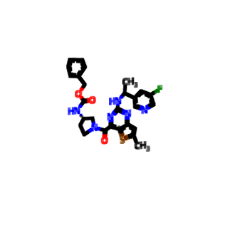 Cc1cc2nc(NC(C)c3cncc(F)c3)nc(C(=O)N3CC[C@H](NC(=O)OCc4ccccc4)C3)c2s1